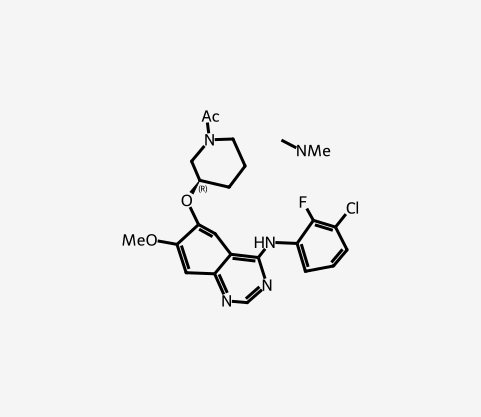 CNC.COc1cc2ncnc(Nc3cccc(Cl)c3F)c2cc1O[C@@H]1CCCN(C(C)=O)C1